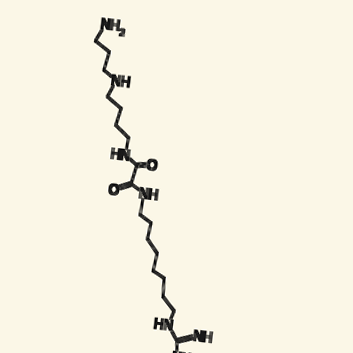 N=C(N)NCCCCCCCCNC(=O)C(=O)NCCCCNCCCN